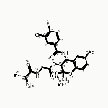 CC(=O)c1ccc2c(c1)[C@@H](NC(=O)c1ccc(F)c(Cl)c1)[C@H](OC(=O)CNC(=O)[C@@H](N)C(C)C)C(C)(C)O2.Cl